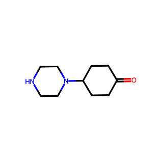 O=C1CCC(N2CCNCC2)CC1